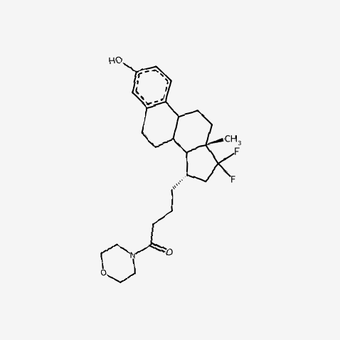 C[C@]12CCC3c4ccc(O)cc4CCC3C1[C@@H](CCCC(=O)N1CCOCC1)CC2(F)F